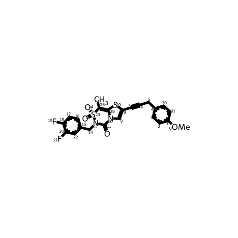 COc1ccc(CC#CC2=CN3C(=O)N(Cc4ccc(F)c(F)c4)S(=O)(=O)C(C)=C3S2)cc1